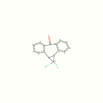 O=C1c2ccccc2C2C(c3ccccc31)C2(F)F